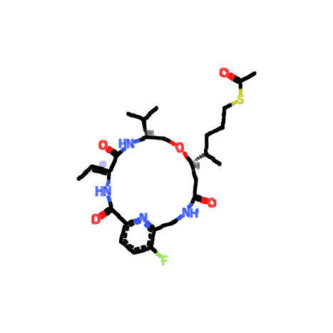 C/C=C1\NC(=O)c2ccc(F)c(n2)CNC(=O)C[C@@H](C(C)CCCSC(C)=O)OC[C@H](C(C)C)NC1=O